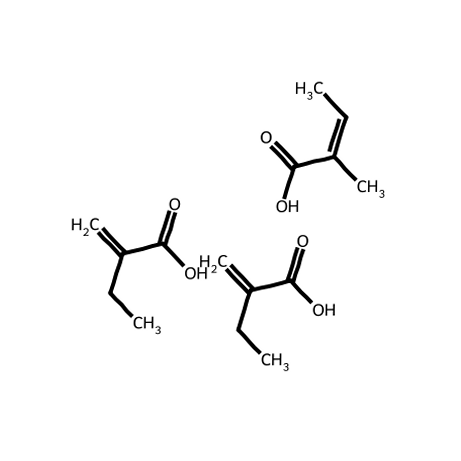 C=C(CC)C(=O)O.C=C(CC)C(=O)O.CC=C(C)C(=O)O